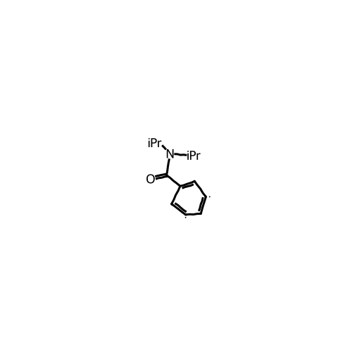 CC(C)N(C(=O)c1c[c]c[c]c1)C(C)C